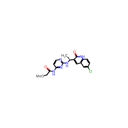 COCC(=O)Nc1ccnc(N[C@@H](C)c2cc3cc(Cl)ccc3[nH]c2=O)n1